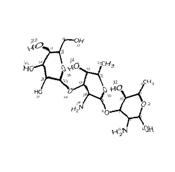 CC1OC(O)C(N)C(OC2OC(C)C(O)C(OC3OC(CO)C(O)C(O)C3O)C2N)C1O